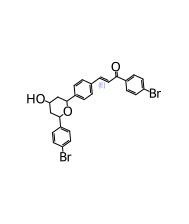 O=C(/C=C/c1ccc(C2CC(O)CC(c3ccc(Br)cc3)O2)cc1)c1ccc(Br)cc1